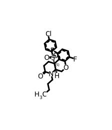 CCCCN1C(=O)CC[C@]2(S(=O)(=O)c3ccc(Cl)cc3)c3c(F)ccc(F)c3OC[C@H]12